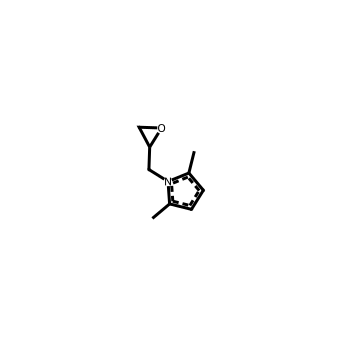 Cc1ccc(C)n1CC1CO1